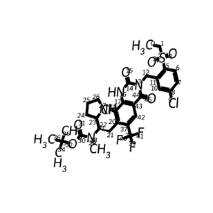 CCS(=O)(=O)c1ccc(Cl)cc1Cn1c(=O)[nH]c2c(Cl)c(C[C@H](C3CCCN3)N(C)C(=O)OC(C)(C)C)c(C(F)(F)F)cc2c1=O